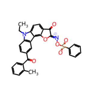 CCn1c2ccc(C(=O)c3ccccc3C)cc2c2c3c(ccc21)C(=O)/C(=N/OS(=O)(=O)c1ccccc1)O3